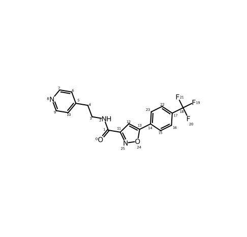 O=C(NCCc1ccncc1)c1cc(-c2ccc(C(F)(F)F)cc2)on1